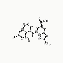 Cc1cn2cc(C(=O)O)cc(NC3CCOc4cc(F)cc(F)c43)c2n1